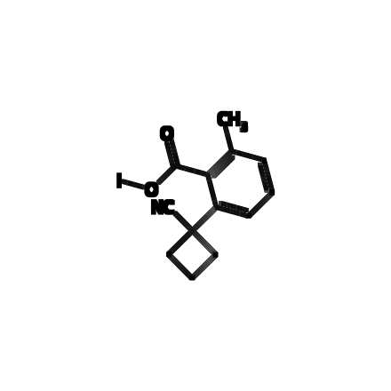 Cc1cccc(C2(C#N)CCC2)c1C(=O)OI